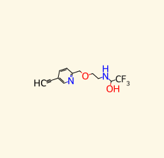 C#Cc1ccc(COCCNC(O)C(F)(F)F)nc1